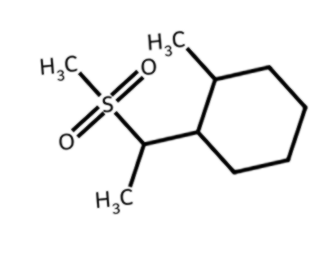 CC1CCCCC1C(C)S(C)(=O)=O